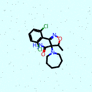 CC1ON=C(c2c(Cl)cccc2Cl)C1(C(N)=O)N1CCCCCC1